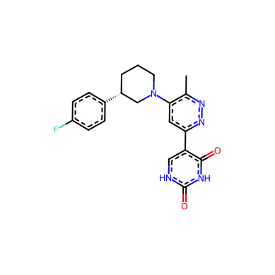 Cc1nnc(-c2c[nH]c(=O)[nH]c2=O)cc1N1CCC[C@@H](c2ccc(F)cc2)C1